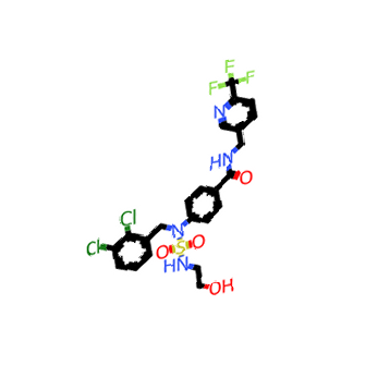 O=C(NCc1ccc(C(F)(F)F)nc1)c1ccc(N(Cc2cccc(Cl)c2Cl)S(=O)(=O)NCCO)cc1